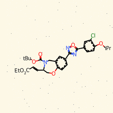 CCOC(=O)C=CC1COc2ccc(-c3noc(-c4ccc(OC(C)C)c(Cl)c4)n3)cc2CN1C(=O)OC(C)(C)C